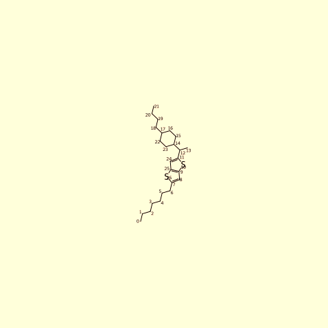 CCCCCCCc1cc2sc(C(C)C3CCC(CCCC)CC3)cc2s1